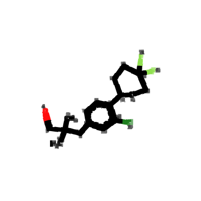 CC(C)(C=O)Cc1ccc(C2CCC(F)(F)CC2)c(Cl)c1